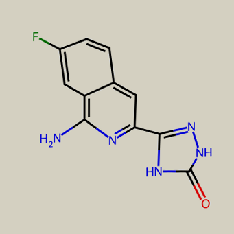 Nc1nc(-c2n[nH]c(=O)[nH]2)cc2ccc(F)cc12